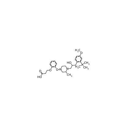 COc1ccc(CC(O)CN2CCN(Oc3ccccc3OCCC(=O)O)CC2C)c(C(C)(C)C)c1